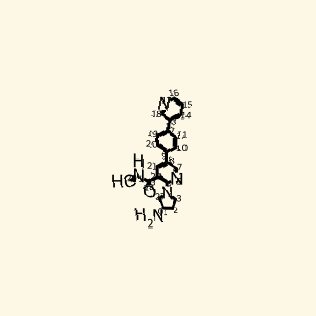 NC1CCN(c2ncc(-c3ccc(-c4cccnc4)cc3)cc2C(=O)NO)C1